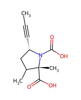 CC#C[C@H]1CC(C)[C@@](C)(C(=O)O)N1C(=O)O